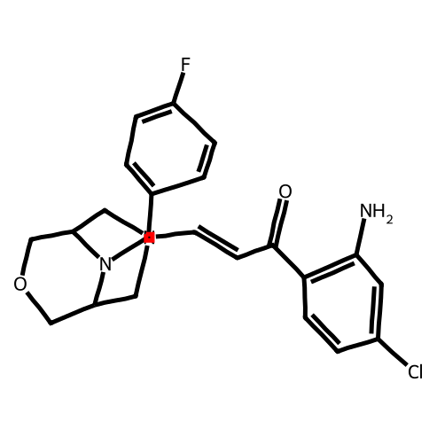 Nc1cc(Cl)ccc1C(=O)/C=C/N1CC2COCC(C1)N2Cc1ccc(F)cc1